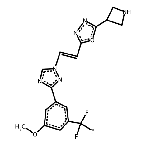 COc1cc(-c2ncn(C=Cc3nnc(C4CNC4)o3)n2)cc(C(F)(F)F)c1